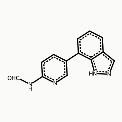 O=CNc1ccc(-c2cccc3cn[nH]c23)cn1